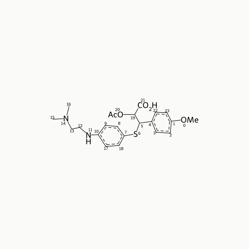 COc1ccc(C(Sc2ccc(NCCN(C)C)cc2)C(OC(C)=O)C(=O)O)cc1